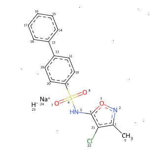 Cc1noc(NS(=O)(=O)c2ccc(-c3ccccc3)cc2)c1Cl.[H-].[Na+]